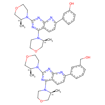 C[C@H]1COCCN1c1nc(N2CCOC[C@@H]2C)c2ccc(-c3cccc(CO)c3)nc2n1.C[C@H]1COCCN1c1nc(N2CCOC[C@@H]2C)c2ccc(-c3cccc(O)c3)nc2n1